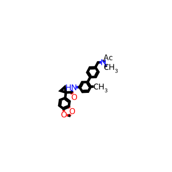 CC(=O)N(C)Cc1ccc(-c2cc(NC(=O)C3(c4ccc5c(c4)OCO5)CC3)ccc2C)cc1